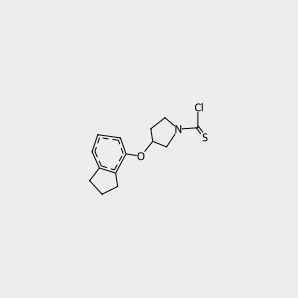 S=C(Cl)N1CCC(Oc2cccc3c2CCC3)C1